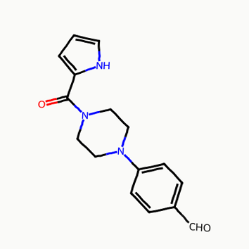 O=Cc1ccc(N2CCN(C(=O)c3ccc[nH]3)CC2)cc1